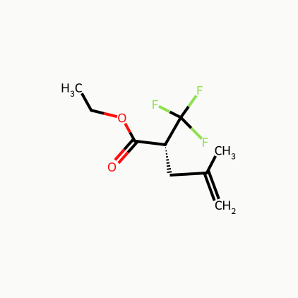 C=C(C)C[C@H](C(=O)OCC)C(F)(F)F